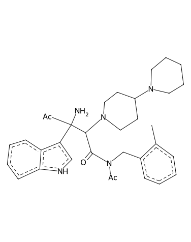 CC(=O)N(Cc1ccccc1C)C(=O)C(N1CCC(N2CCCCC2)CC1)C(N)(C(C)=O)c1c[nH]c2ccccc12